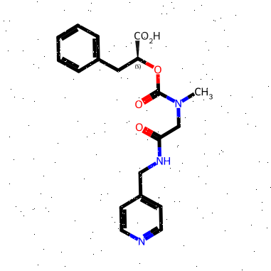 CN(CC(=O)NCc1ccncc1)C(=O)O[C@@H](Cc1ccccc1)C(=O)O